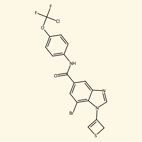 O=C(Nc1ccc(OC(F)(F)Cl)cc1)c1cc(Br)c2c(c1)ncn2C1=CSC1